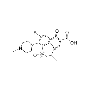 CC1C[S@@+]([O-])c2c(N3CCN(C)CC3)c(F)cc3c(=O)c(C(=O)O)cn1c23